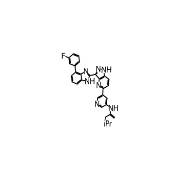 C=C(CC(C)C)Nc1cncc(-c2ccc3[nH]nc(-c4nc5c(-c6cccc(F)c6)cccc5[nH]4)c3n2)c1